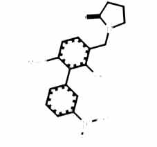 COc1ccc(CN2CCCC2=O)c(O)c1-c1cccc([NH+]([O-])O)c1